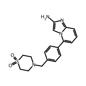 Nc1cn2c(-c3ccc(CN4CCS(=O)(=O)CC4)cc3)cccc2n1